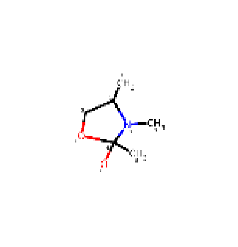 CC1COC(C)([O])N1C